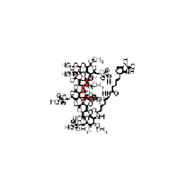 COC1C(OC)[C@H](O[C@H]2O[C@@H](COS(=O)(=O)O)[C@@H](O[C@@H]3OC(C(=O)O)[C@@H](O[C@@H]4OC(COS(=O)(=O)O)[C@@H](C)[C@H](OC)C4NC(=O)CCCCCNC(=O)CCCCC4SCC5NC(=O)NC54)[C@H](OC)C3OC)C(OSOOO)C2OSOOO)[C@H](C(=O)O)O[C@@H]1O[C@@H]1C(COS(=O)(=O)O)O[C@H](OC)C(OSOOO)[C@H]1OSOOO